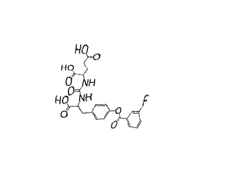 O=C(O)CCC(NC(=O)NC(Cc1ccc(OC(=O)c2cccc(F)c2)cc1)C(=O)O)C(=O)O